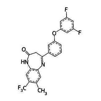 Cc1cc2c(cc1C(F)(F)F)NC(=O)CC(c1cccc(Oc3cc(F)cc(F)c3)c1)=N2